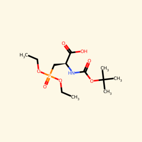 CCOP(=O)(C[C@H](NC(=O)OC(C)(C)C)C(=O)O)OCC